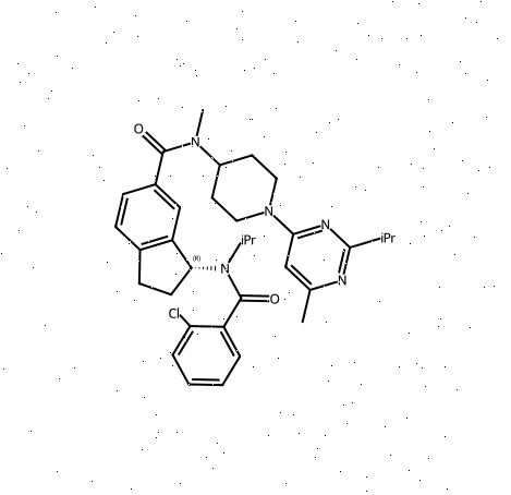 Cc1cc(N2CCC(N(C)C(=O)c3ccc4c(c3)[C@H](N(C(=O)c3ccccc3Cl)C(C)C)CC4)CC2)nc(C(C)C)n1